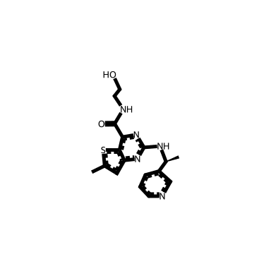 Cc1cc2nc(N[C@@H](C)c3cccnc3)nc(C(=O)NCCO)c2s1